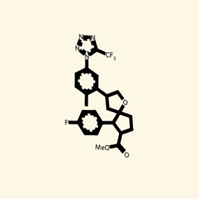 COC(=O)C1CCC2(CC(c3cc(-n4nnnc4C(F)(F)F)ccc3C)CO2)C1c1ccc(F)cc1